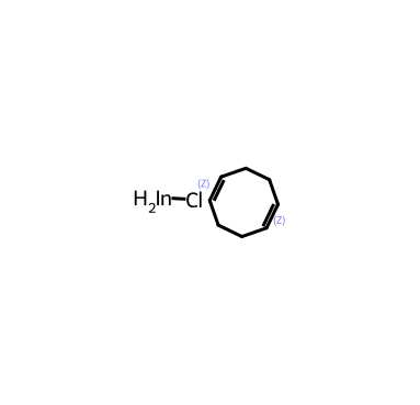 C1=C\CC/C=C\CC/1.[Cl][InH2]